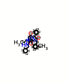 CCCN(C(=O)NCC1=CCCCC1)N1CC(=O)N2[C@@H](c3ccccc3)C(=O)N(Cc3ccccc3C)C[C@@H]21